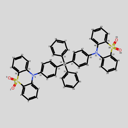 O=S1(=O)c2ccccc2N(c2ccc([Si](c3ccccc3)(c3ccccc3)c3ccc(N4c5ccccc5S(=O)(=O)c5ccccc54)cc3)cc2)c2ccccc21